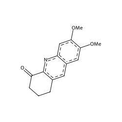 COc1cc2cc3c(nc2cc1OC)C(=O)CCC3